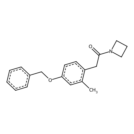 Cc1cc(OCc2ccccc2)ccc1CC(=O)N1CCC1